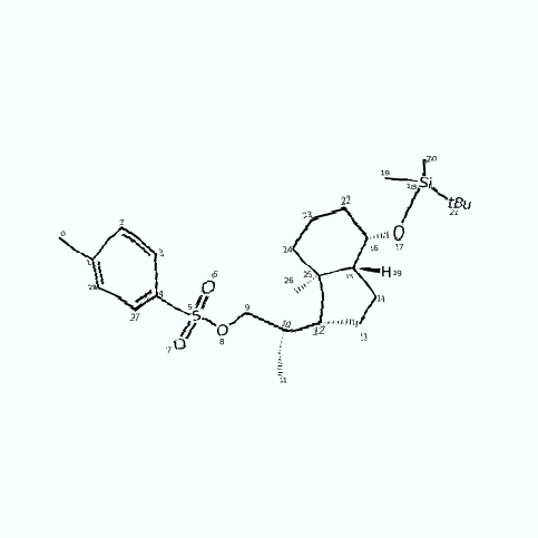 Cc1ccc(S(=O)(=O)OC[C@@H](C)[C@H]2CC[C@H]3[C@@H](O[Si](C)(C)C(C)(C)C)CCC[C@]23C)cc1